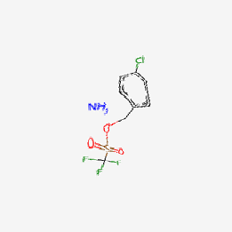 N.O=S(=O)(OCc1ccc(Cl)cc1)C(F)(F)F